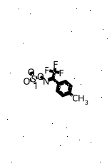 Cc1ccc(C(=NOS(=O)(=O)I)C(F)(F)F)cc1